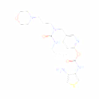 CCOC(=O)CNC(=O)N(CCCN1CCOCC1)Cc1ccc(OC(=O)Nc2cscc2N)nc1